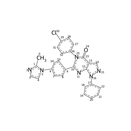 Cc1nccn1-c1ccc(-c2nc3c(cnn3-c3ccccc3)c(=O)n2-c2ccc(Cl)cc2)cc1